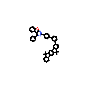 CC1(C)c2ccccc2-c2cc3c(cc21)-c1cc(-c2cccc(-c4ccc(-c5nc(-c6ccccc6)c6c(n5)oc5ccccc56)cc4)c2)ccc1C3(C)C